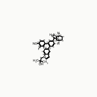 CC(C)(O)Cn1ccc2cc(-c3ccc(C(=O)N4[C@H]5CC[C@@H]4[C@H](N)C5)cc3-c3ccc(C#N)c(F)c3)c(F)cc21